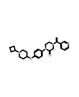 C=C(c1cccnc1)N1CCN(c2ccc(OC3CCN(C4CCC4)CC3)cc2)C(=O)C1